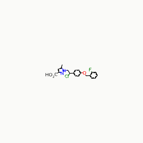 Cc1cc(C(=O)O)nn1CC(Cl)c1ccc(OCc2ccccc2F)cc1